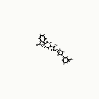 O=C1O[C@]2(CC[C@H](C(=O)N[C@H]3CCN(c4cccc(F)c4)C3)CC2)c2ccccc21